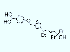 CCC(=CC=CC(O)(CC)CC)c1csc(COc2ccc(C(O)O)cc2)c1